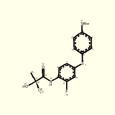 CSc1ccc(Sc2ccc(NC(=O)[C@@](C)(O)C(F)(F)F)c(F)c2)cc1